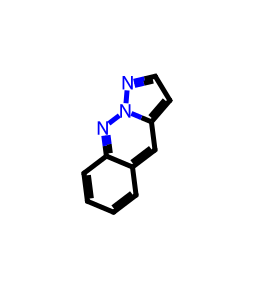 c1ccc2nn3nccc3cc2c1